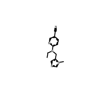 [CH2]CN(Cc1cncn1C)c1ccc(C#N)cn1